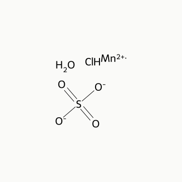 Cl.O.O=S(=O)([O-])[O-].[Mn+2]